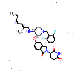 C=C/C=C\C=C(/C)CN[C@H]1CCN(Cc2c(F)cccc2F)C[C@@H]1Oc1ccc2c(c1)CN(C1CCC(=O)NC1=O)C2=O